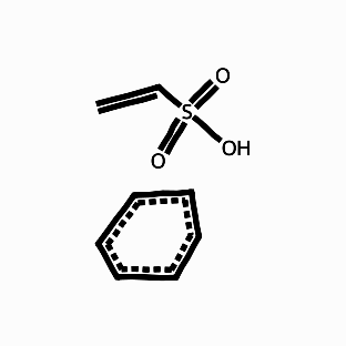 C=CS(=O)(=O)O.c1ccccc1